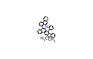 CC1(C)c2ccccc2-c2c(-c3ccccc3N(c3ccc4c(c3)CCC=C4)c3ccc4ccccc4c3-c3ccccc3)cccc21